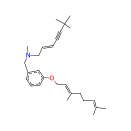 CC(C)=CCC/C(C)=C/COc1cccc(CN(C)C/C=C/C#CC(C)(C)C)c1